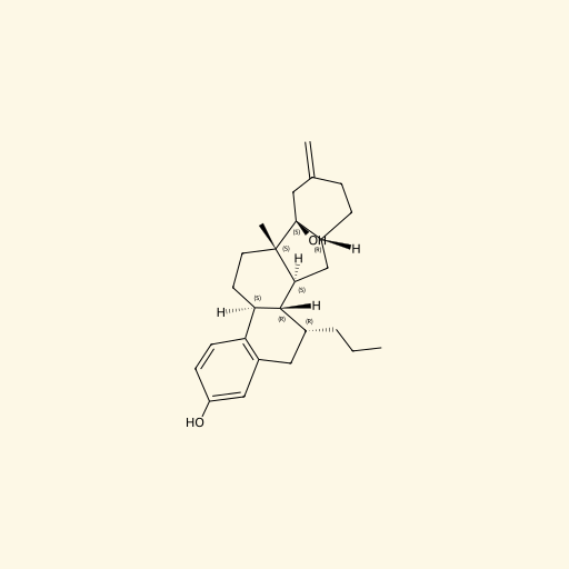 C=C1CC[C@@H]2C[C@H]3[C@@H]4[C@H](CCC)Cc5cc(O)ccc5[C@H]4CC[C@]3(C)[C@]2(O)C1